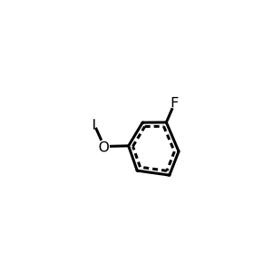 Fc1cccc(OI)c1